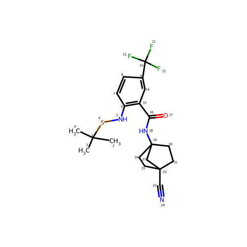 CC(C)(C)SNc1ccc(C(F)(F)F)cc1C(=O)NC12CCC(C#N)(CC1)C2